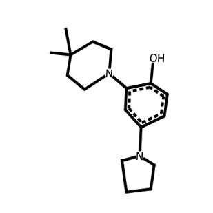 CC1(C)CCN(c2cc(N3CCCC3)ccc2O)CC1